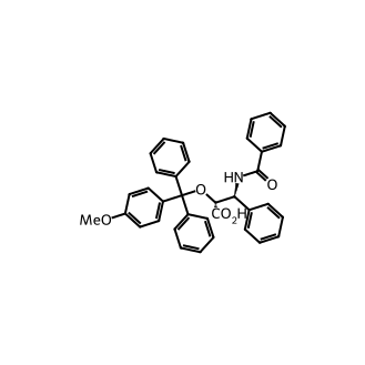 COc1ccc(C(O[C@@H](C(=O)O)[C@@H](NC(=O)c2ccccc2)c2ccccc2)(c2ccccc2)c2ccccc2)cc1